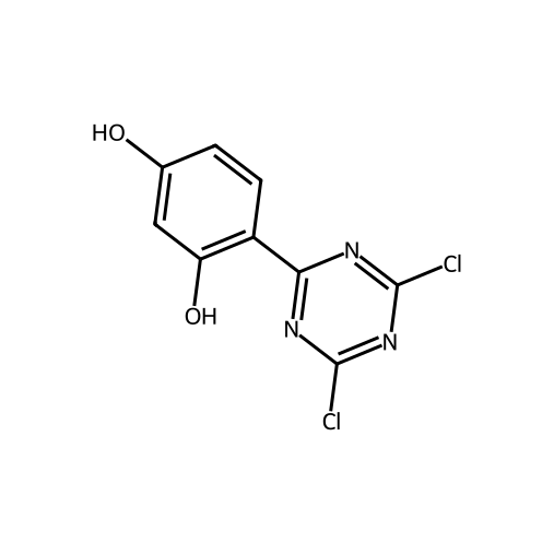 Oc1ccc(-c2nc(Cl)nc(Cl)n2)c(O)c1